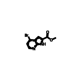 COC(=O)c1cc2c(Br)ccnc2[nH]1